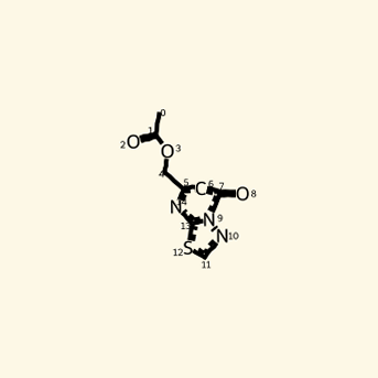 CC(=O)OCc1cc(=O)n2ncsc2n1